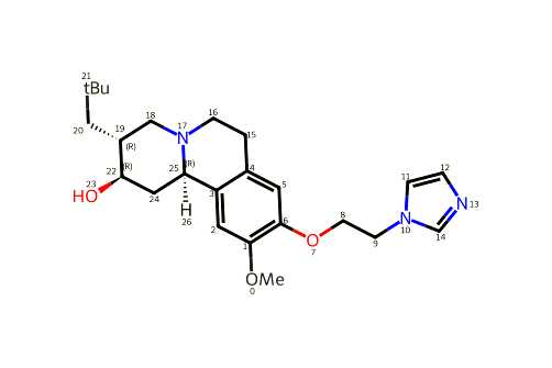 COc1cc2c(cc1OCCn1ccnc1)CCN1C[C@@H](CC(C)(C)C)[C@H](O)C[C@H]21